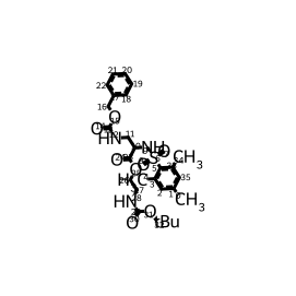 Cc1cc(C)c(S(=O)(=O)NC(CNC(=O)OCc2ccccc2)C(=O)OCCNC(=O)OC(C)(C)C)c(C)c1